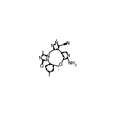 Cc1ccc2c(c1)[C@@H](C)Oc1cc(cnc1N)-c1c(nn(C)c1C#N)Cn1c(C)nc(=O)n1-2